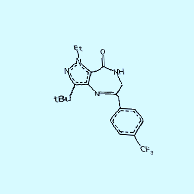 CCn1nc(C(C)(C)C)c2c1C(=O)NCC(c1ccc(C(F)(F)F)cc1)=N2